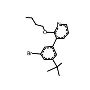 CCCCOc1ncccc1-c1cc(Br)cc(C(C)(C)C)c1